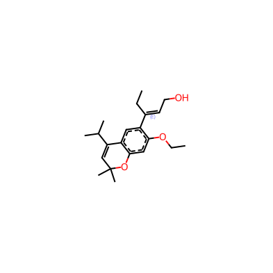 CCOc1cc2c(cc1/C(=C/CO)CC)C(C(C)C)=CC(C)(C)O2